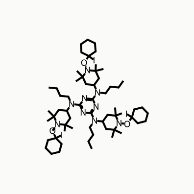 CCCCN(c1nc(N(CCCC)C2CC(C)(C)N(OC3(I)CCCCC3)C(C)(C)C2)nc(N(CCCC)C2CC(C)(C)N(OC3(I)CCCCC3)C(C)(C)C2)n1)C1CC(C)(C)N(OC2(I)CCCCC2)C(C)(C)C1